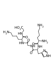 NCCCCC(N)C(=O)NC(Cc1c[nH]cn1)C(=O)NCC(=O)NC(CCCCN)C(=O)NCC(=O)O